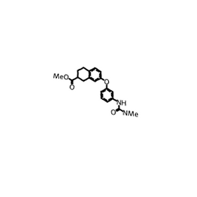 CNC(=O)Nc1cccc(Oc2ccc3c(c2)CC(C(=O)OC)CC3)c1